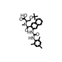 Cc1cc(C)c(NC(=O)Nc2cc3ccccc3cc2C(=O)N(C)C(COC(C)(C)C)C(=O)O)c(C)c1